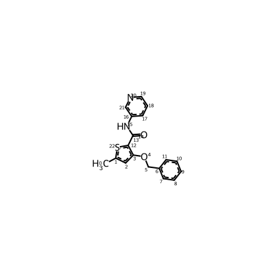 Cc1cc(OCc2ccccc2)c(C(=O)Nc2cccnc2)s1